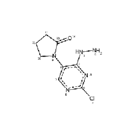 NNc1nc(Cl)ncc1N1CCCC1=O